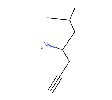 C#CC[C@H](N)CC(C)C